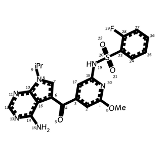 COc1cc(C(=O)c2cn(C(C)C)c3ncnc(N)c23)cc(NS(=O)(=O)c2ccccc2F)n1